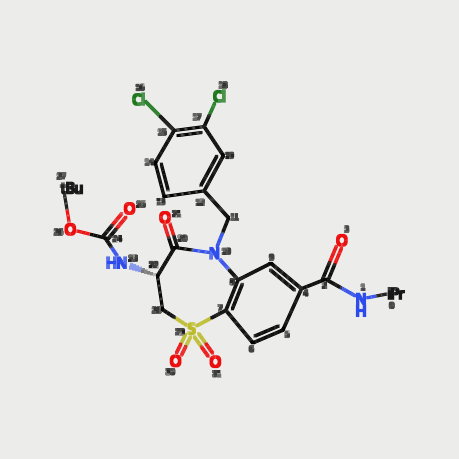 CC(C)NC(=O)c1ccc2c(c1)N(Cc1ccc(Cl)c(Cl)c1)C(=O)[C@@H](NC(=O)OC(C)(C)C)CS2(=O)=O